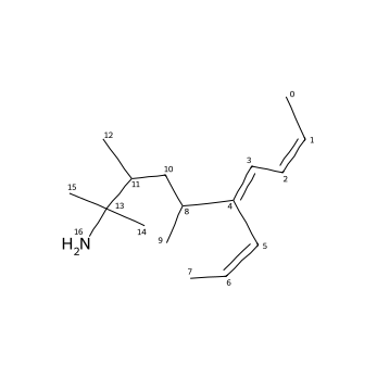 C\C=C/C=C(\C=C/C)C(C)CC(C)C(C)(C)N